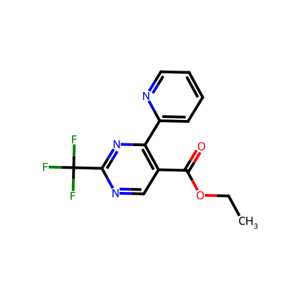 CCOC(=O)c1cnc(C(F)(F)F)nc1-c1ccccn1